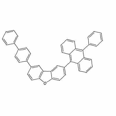 c1ccc(-c2ccc(-c3ccc4oc5ccc(-c6c7ccccc7c(-c7ccccc7)c7ccccc67)cc5c4c3)cc2)cc1